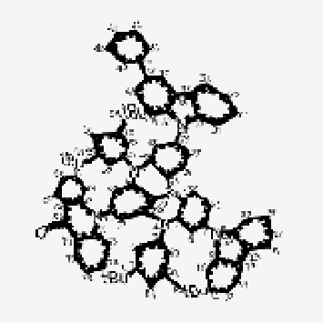 CC(C)(C)c1cc(N2c3cc(-n4c5ccccc5c5ccccc54)ccc3B3c4ccc(-n5c6ccccc6c6cc(-c7ccccc7)ccc65)cc4N(c4cc(C(C)(C)C)cc(C(C)(C)C)c4)c4cc(-n5c6ccccc6c(=O)c6ccccc65)cc2c43)cc(C(C)(C)C)c1